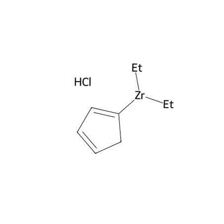 C[CH2][Zr]([CH2]C)[C]1=CC=CC1.Cl